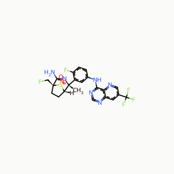 C[C@]1(c2cc(Nc3ncnc4cc(C(F)(F)F)cnc34)ccc2F)N=C(N)[C@@]2(CF)CC[C@@H]1S2(=O)=O